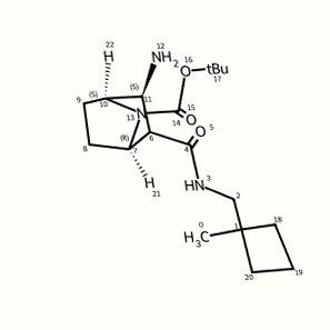 CC1(CNC(=O)C2[C@H]3CC[C@@H]([C@H]2N)N3C(=O)OC(C)(C)C)CCC1